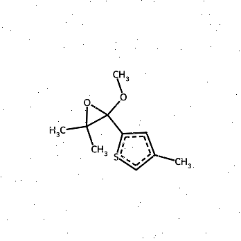 COC1(c2cc(C)cs2)OC1(C)C